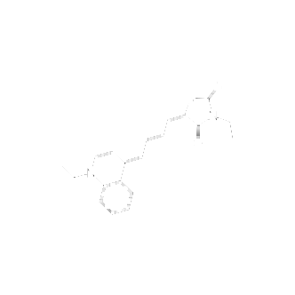 CCN1C(=O)\C(=C/C=C/C=C2\C=CN(CC)c3ccccc32)SC1=S